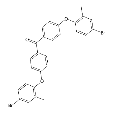 Cc1cc(Br)ccc1Oc1ccc(C(=O)c2ccc(Oc3ccc(Br)cc3C)cc2)cc1